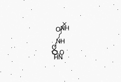 CNC(=O)c1cccc(OCCNCCCCC(=O)NCC(C)(C)C)c1